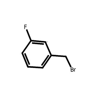 Fc1[c]c(CBr)ccc1